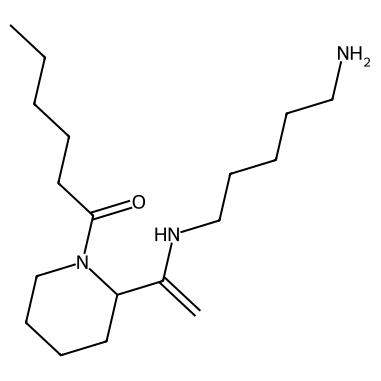 C=C(NCCCCCN)C1CCCCN1C(=O)CCCCC